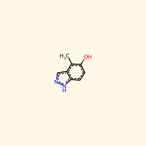 Cc1c(O)ccc2[nH]ncc12